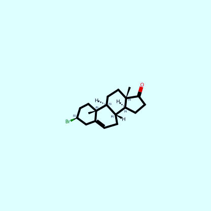 C[C@]12CC[C@H](Br)CC1=CC[C@@H]1[C@@H]2CC[C@]2(C)C(=O)CC[C@@H]12